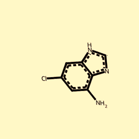 Nc1cc(Cl)cc2[nH][c]nc12